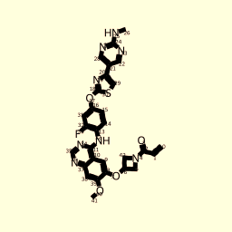 C=CC(=O)N1CC(Oc2cc3c(Nc4ccc(Oc5nc(-c6cnc(NC)nc6)cs5)cc4F)ncnc3cc2OC)C1